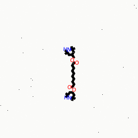 CC1(C)CC(COC(=O)CCCCCCCCC(=O)OC2CC(C)(C)NC(C)(C)C2)CC(C)(C)N1